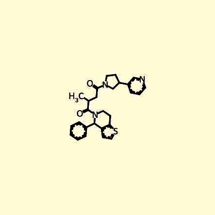 CC(CC(=O)N1CCC(c2cccnc2)C1)C(=O)N1CCc2sccc2C1c1ccccc1